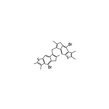 CC1=C(CC2=C(C)Cc3c2cc2sc(C)c(C)c2c3Br)c2cc3sc(C)c(C)c3c(Br)c2C1